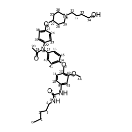 CCCCCNC(=O)Nc1ccc(Oc2ccc(N(C(C)=O)c3ccc(OC4CCN(CCCCO)CC4)cc3)cc2)c(OC)c1